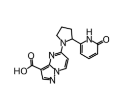 O=C(O)c1cnn2ccc(N3CCCC3c3cccc(=O)[nH]3)nc12